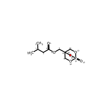 CC(C)CC(=O)OCC12COP(=O)(OC1)OC2